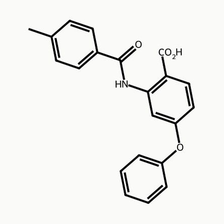 Cc1ccc(C(=O)Nc2cc(Oc3ccccc3)ccc2C(=O)O)cc1